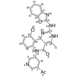 CC(=O)c1cncc(NC(=O)C2=C(C)NC(Nc3nc4ccccc4o3)=NC2c2ccccc2Cl)c1